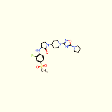 CS(=O)(=O)c1ccc(N[C@H]2CCN(C3CCN(c4noc(N5CCCC5)n4)CC3)C2=O)c(F)c1